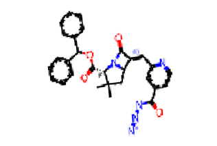 CC1(C)CC2/C(=C\c3cc(C(=O)N=[N+]=[N-])ccn3)C(=O)N2[C@H]1C(=O)OC(c1ccccc1)c1ccccc1